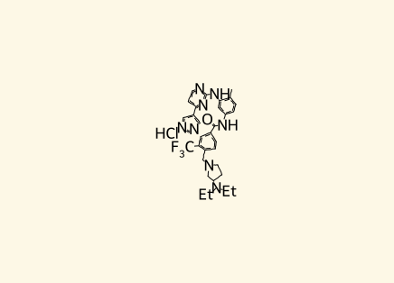 CCN(CC)[C@H]1CCN(Cc2ccc(C(=O)Nc3ccc(C)c(Nc4nccc(-c5cncnc5)n4)c3)cc2C(F)(F)F)C1.Cl